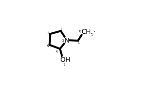 [CH2]CN1CCCC1O